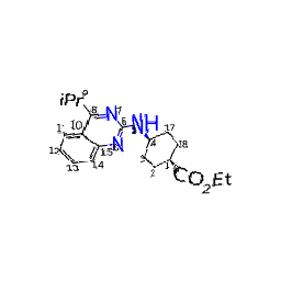 CCOC(=O)[C@H]1CC[C@@H](Nc2nc(C(C)C)c3ccccc3n2)CC1